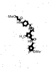 COCCC(=O)N[C@H]1CC[C@H](Cn2nnc(-c3cc(C)nc(C(=O)NCc4ccc(F)c(OC)c4)c3)n2)CC1